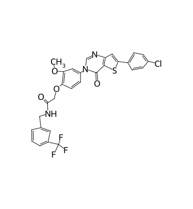 COc1cc(-n2cnc3cc(-c4ccc(Cl)cc4)sc3c2=O)ccc1OCC(=O)NCc1cccc(C(F)(F)F)c1